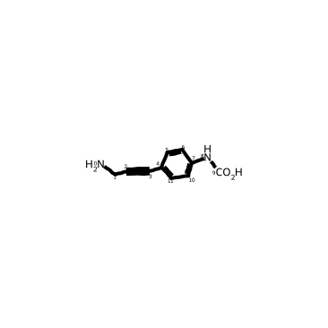 NCC#Cc1ccc(NC(=O)O)cc1